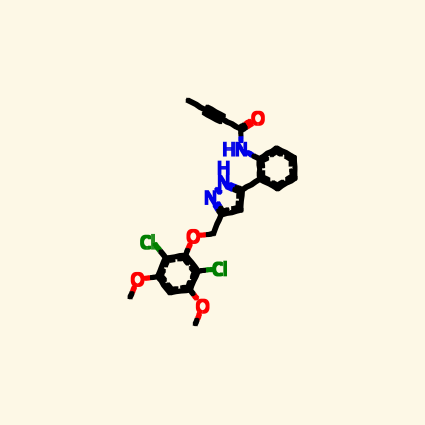 CC#CC(=O)Nc1ccccc1-c1cc(COc2c(Cl)c(OC)cc(OC)c2Cl)n[nH]1